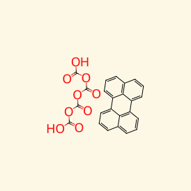 O=C(O)OC(=O)OC(=O)OC(=O)O.c1cc2cccc3c4cccc5cccc(c(c1)c23)c54